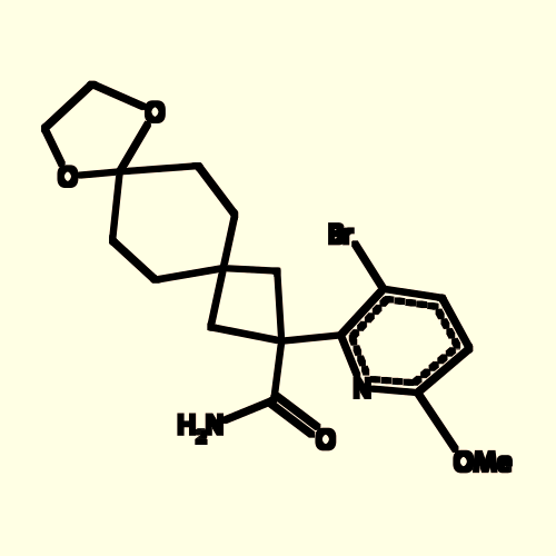 COc1ccc(Br)c(C2(C(N)=O)CC3(CCC4(CC3)OCCO4)C2)n1